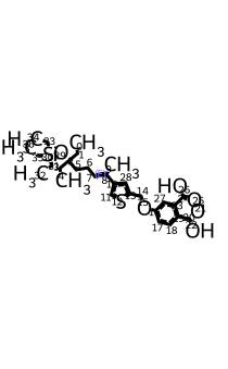 CCC(CC)(CC/C=C(\C)c1csc(COc2ccc(C(=O)O)c(C(=O)O)c2)c1)O[Si](CC)(CC)CC